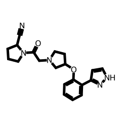 N#CC1CCCN1C(=O)CN1CCC(Oc2ccccc2-c2cc[nH]n2)C1